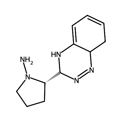 NN1CCC[C@H]1C1N=NC2CC=CC=C2N1